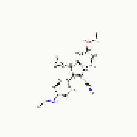 CCNc1ccc(C2=C(C#N)c3ccc(OCC)cc3C2C2CC2)cc1